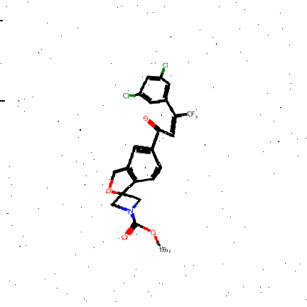 CC(C)(C)OC(=O)N1CC2(C1)OCc1cc(C(=O)C=C(c3cc(Cl)cc(Cl)c3)C(F)(F)F)ccc12